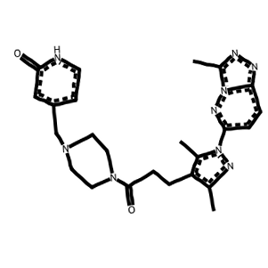 Cc1nn(-c2ccc3nnc(C)n3n2)c(C)c1CCC(=O)N1CCN(Cc2cc[nH]c(=O)c2)CC1